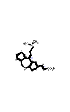 CN(C)CC/C=C1\c2ccccc2COc2ccc(/C=C/C(=O)O)cc21